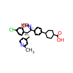 Cc1cc(C[C@@H](/C(=N\O)c2ccc(C3CCC(C(=O)O)CC3)cc2)c2ccc(Cl)cc2C)ccn1